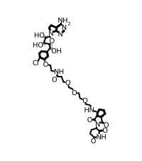 Nc1ncnc2c1ccn2C1O[C@H]([C@H](O)c2ccc(Cl)c(OCCNC(=O)CCOCCOCCOCCNc3cccc4c3C(=O)N(C3CCC(=O)NC3=O)C4=O)c2)[C@@H](O)[C@H]1O